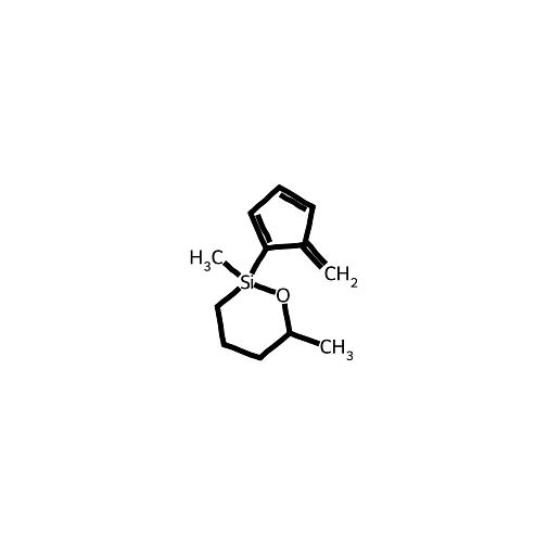 C=C1C=CC=C1[Si]1(C)CCCC(C)O1